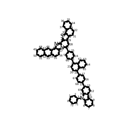 c1ccc(-n2c3ccccc3c3ccc(-c4ccc(-c5ccc(-c6ccc(-c7cc8c9ccc%10ccccc%10c9sc8c8nc9c%10cc%11ccccc%11cc%10ccc9n78)cc6)c6ccccc56)cc4)cc32)cc1